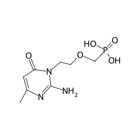 Cc1cc(=O)n(CCOCP(=O)(O)O)c(N)n1